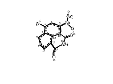 CC(=O)N(Cl)c1cc(Br)c2cccc3c2c1C(=O)NC3=O